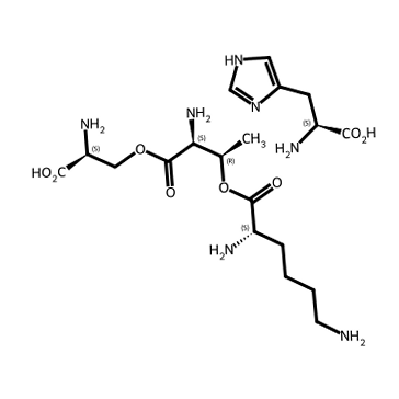 C[C@@H](OC(=O)[C@@H](N)CCCCN)[C@H](N)C(=O)OC[C@H](N)C(=O)O.N[C@@H](Cc1c[nH]cn1)C(=O)O